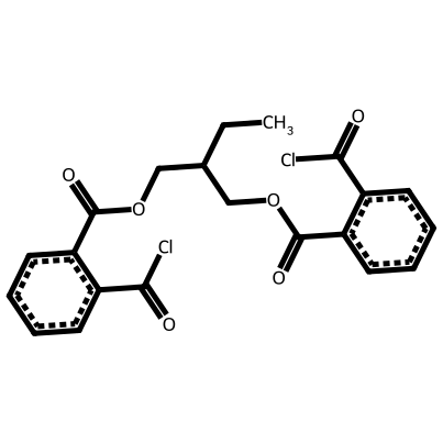 CCC(COC(=O)c1ccccc1C(=O)Cl)COC(=O)c1ccccc1C(=O)Cl